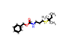 CCC(C)(C)SCCCNC(=O)OCc1ccccc1